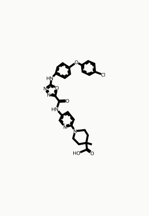 CC1(C(=O)O)CCN(c2ccc(NC(=O)c3nnc(Nc4ccc(Oc5ccc(Cl)cc5)cc4)o3)cn2)CC1